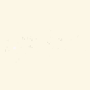 CC(=N)/C(Cn1cc(N2C(=O)NC(CC3CCCCC3)C2=O)cn1)=C(/C)O